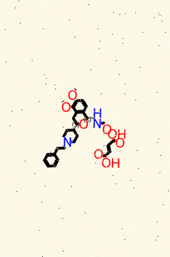 COc1ccc2c(c1OC)C[C@@H](C1CCN(CCc3ccccc3)CC1)O[C@H]2CNC=O.O=C(O)C=CC(=O)O